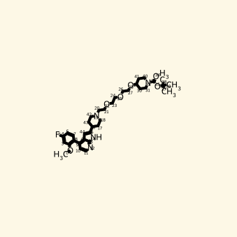 COc1cc(F)ccc1-c1ccnc2[nH]c(C3CCN(CCOCCOCCOC4CCN(C(=O)OC(C)(C)C)CC4)CC3)cc12